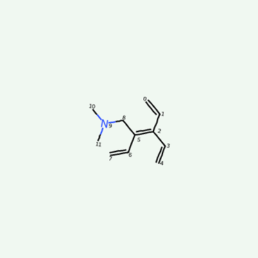 C=CC(C=C)=C(C=C)CN(C)C